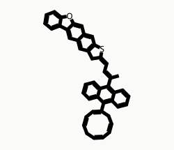 C/C(=C\C=C1/Cc2cc3cc4c(cc3cc2S1)oc1ccccc14)c1c2ccccc2c(/C2=C/C=C\C/C=C\C=C/C2)c2ccccc12